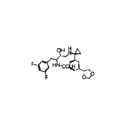 O=C(O)NC(Cc1cc(F)cc(F)c1)C(O)CNC1(c2cccc(C3COCO3)c2)CC1